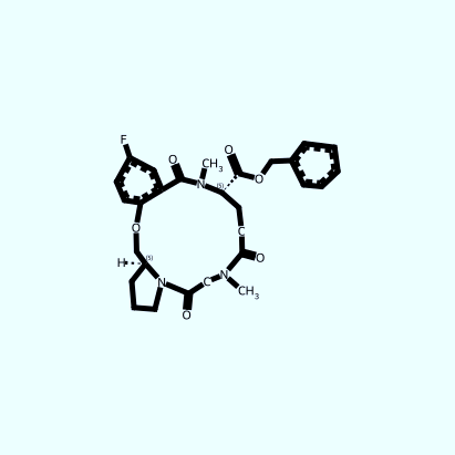 CN1CC(=O)N2CCC[C@H]2COc2ccc(F)cc2C(=O)N(C)[C@H](C(=O)OCc2ccccc2)CCC1=O